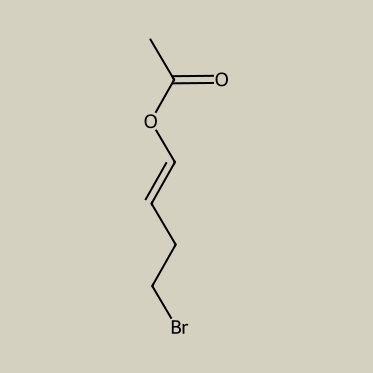 CC(=O)OC=CCCBr